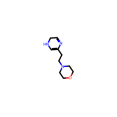 C1=NC(CCN2CCOCC2)=CNC1